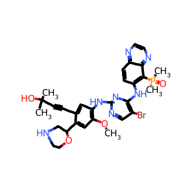 COc1cc(C2CNCCO2)c(C#CC(C)(C)O)cc1Nc1ncc(Br)c(Nc2ccc3nccnc3c2P(C)(C)=O)n1